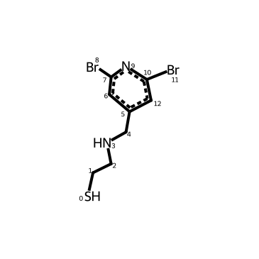 SCCNCc1cc(Br)nc(Br)c1